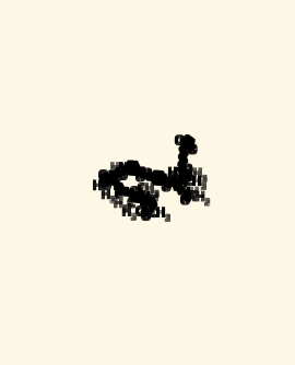 CC(=O)O[C@@H](C)/C=C\C(=O)N[C@@H]1C[C@H](C)[C@H](C/C=C(C)/C=C/[C@H]2O[C@H](CC(=O)N[C@H]3CC[C@H](CC(=O)OCc4ccc(NC(=O)[C@H](CCCNC(N)=O)NC(=O)[C@@H](NC(=O)CCCCCN5C(=O)C=CC5=O)C(C)C)cc4)CC3)C[C@@]3(CO3)[C@@H]2O)O[C@@H]1C